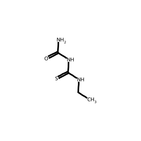 CCNC(=S)NC(N)=O